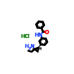 CC[C@]1(N)C[C@H]1c1cccc(NC(=O)c2ccccc2)c1.Cl